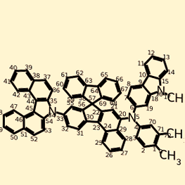 Cc1ccc(N(c2ccc3c4ccccc4n(C)c3c2)c2cc3c(c4ccccc24)-c2ccc(-n4c5ccc6ccccc6c5c5c6ccccc6ccc54)cc2C32c3ccccc3-c3ccccc32)cc1C